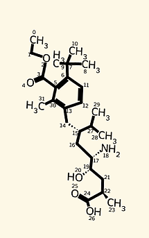 CCOC(=O)c1c(C(C)(C)C)ccc(C[C@@H](C[C@H](N)[C@@H](O)C[C@@H](C)C(=O)O)C(C)C)c1C